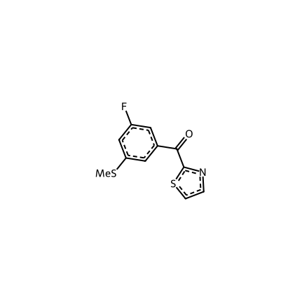 CSc1cc(F)cc(C(=O)c2nccs2)c1